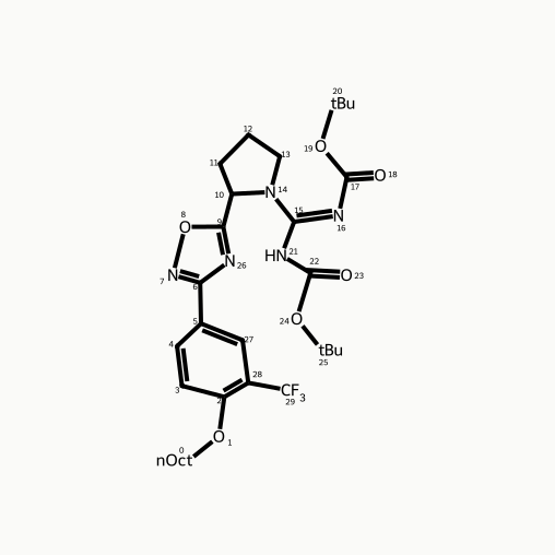 CCCCCCCCOc1ccc(-c2noc(C3CCCN3C(=NC(=O)OC(C)(C)C)NC(=O)OC(C)(C)C)n2)cc1C(F)(F)F